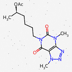 CC(=O)O[C@H](C)CCCCn1c(=O)c2c(nnn2C)n(C)c1=O